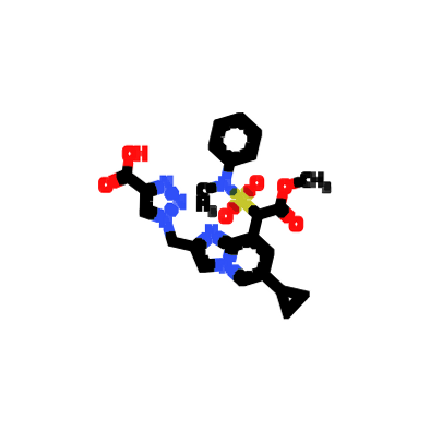 COC(=O)C(c1cc(C2CC2)cn2cc(Cn3cc(C(=O)O)nn3)nc12)S(=O)(=O)N(C)c1ccccc1